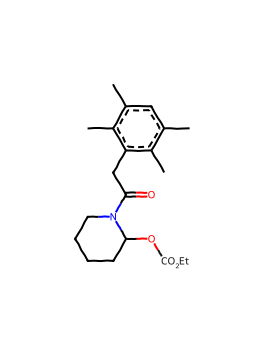 CCOC(=O)OC1CCCCN1C(=O)Cc1c(C)c(C)cc(C)c1C